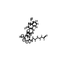 C=CCCCCC[C@H](C)C(=O)N1C[C@@]2(CCc3c(c(C)nc4c(F)cccc34)O2)C[C@H]1C(=O)OC